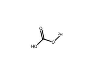 [2H]OC(=O)O